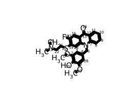 COc1cc(Cn2c3ccccc3c(=O)c3cc(F)c(SCCN(C)C)cc32)cc(OC)c1O